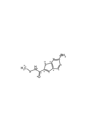 Bc1ccc2cc(C(=O)NCC)sc2c1